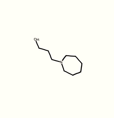 OCCCN1CCCCCC1